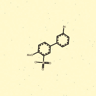 COc1ccc(-c2cccc(C(C)=O)c2)cc1S(=O)(=O)Cl